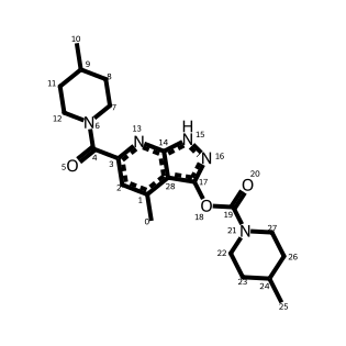 Cc1cc(C(=O)N2CCC(C)CC2)nc2[nH]nc(OC(=O)N3CCC(C)CC3)c12